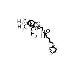 CC1(C)C2CC3OB(CNC(=O)CCCC[C@H]4CCSS4)O[C@]3(C)C1C2